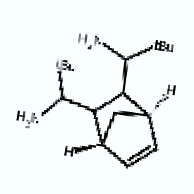 CC(C)(C)C(N)C1C(C(N)C(C)(C)C)[C@H]2C=C[C@H]1C2